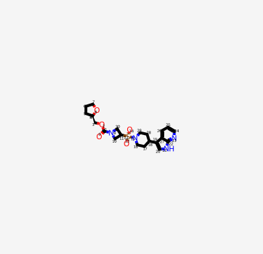 O=C(OC[C@H]1CCCO1)N1CC(S(=O)(=O)N2CCC(c3c[nH]c4ncccc34)CC2)C1